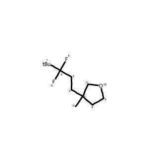 CC1(CCC(F)(F)C(C)(C)C)CCOC1